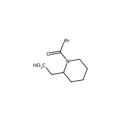 CC(C)C(=O)N1CCCCC1CC(=O)O